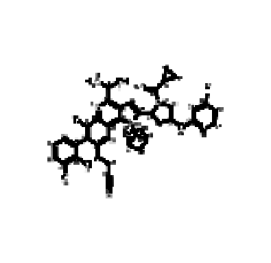 CC(O)c1nc2c(F)c(-c3cccc(Cl)c3Cl)c(CCC#N)cc2c2c1cc(C1CC(Oc3cc(F)ccn3)CN1C(=O)C1CC1)n2C1C2CNC1C2